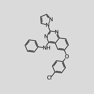 Clc1ccc(Oc2ccc3nc(-n4cccn4)nc(Nc4ccccc4)c3c2)cc1